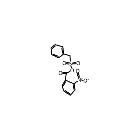 O=C(OS(=O)(=O)Cc1ccccc1)c1ccccc1[N+](=O)[O-]